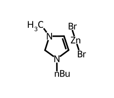 CCCCN1C=CN(C)C1.[Br][Zn][Br]